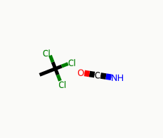 CC(Cl)(Cl)Cl.N=C=O